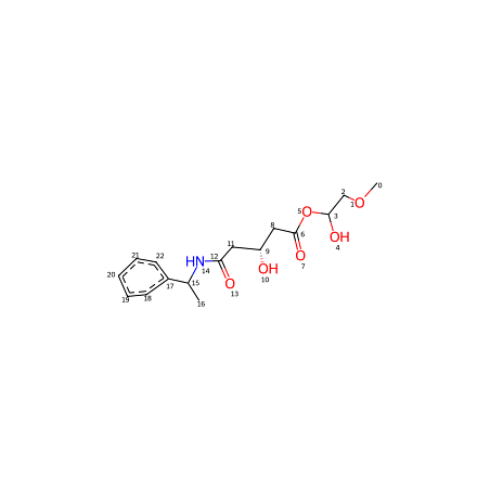 COCC(O)OC(=O)C[C@H](O)CC(=O)NC(C)c1ccccc1